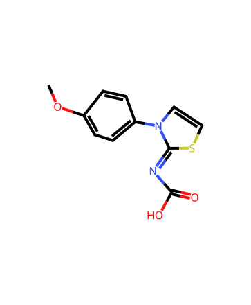 COc1ccc(-n2ccsc2=NC(=O)O)cc1